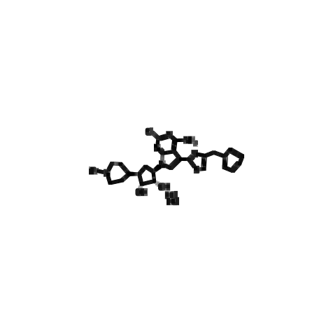 CC(C)N1CCC([C@H]2C[C@@H](n3cc(-c4nc(Cc5ccccc5)cs4)c4c(N)nc(Cl)nc43)[C@H](O)[C@@H]2O)CC1.Cl.Cl